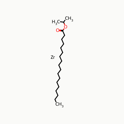 CCCCCCCCCCCCCCCCCC(=O)OC(C)C.[Zr]